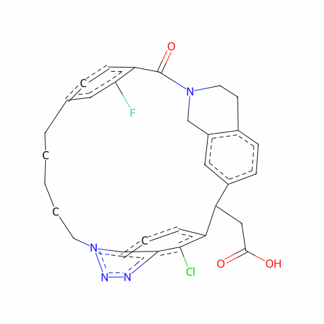 O=C(O)CC1c2ccc3c(c2)CN(CC3)C(=O)c2ccc(cc2F)CCCCCn2nnc3c(Cl)c1ccc32